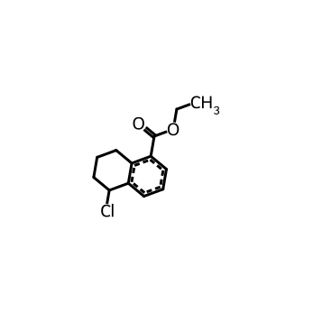 CCOC(=O)c1cccc2c1CCCC2Cl